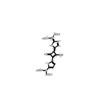 CCCCCCCCN(CCCCCCCC)c1ccc(C2=C(O)/C(=C3\C=NC(=[N+](CCCCCCCC)CCCCCCCC)O3)C2=O)s1